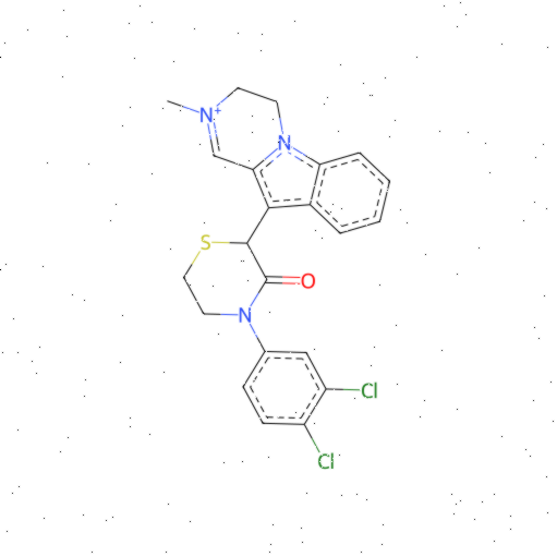 C[N+]1=Cc2c(C3SCCN(c4ccc(Cl)c(Cl)c4)C3=O)c3ccccc3n2CC1